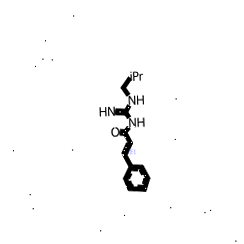 CC(C)CNC(=N)NC(=O)/C=C/c1ccccc1